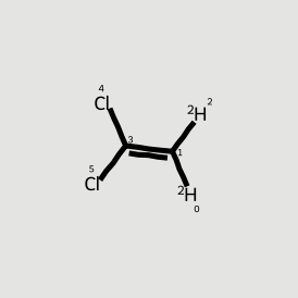 [2H]C([2H])=C(Cl)Cl